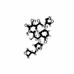 C[C@@H](c1nc(C(=O)Nc2cnoc2)c(O)c(=O)n1C)[C@@H](c1cnn(CC2COC2)c1)c1ccccc1Cl